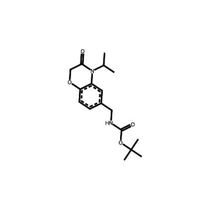 CC(C)N1C(=O)COc2ccc(CNC(=O)OC(C)(C)C)cc21